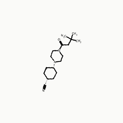 CC(C)(C)CC(=O)N1CCN([C@H]2CC[C@@H](C#N)CC2)CC1